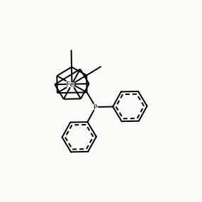 C[C]12[CH]3[CH]4[C]5(P(c6ccccc6)c6ccccc6)[C]1(C)[Fe]34251678[CH]2[CH]1[CH]6[CH]7[CH]28